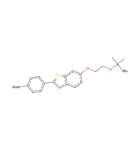 CNc1ccc(-c2cc3ccc(OCCO[Si](C)(C)C(C)(C)C)cc3s2)cc1